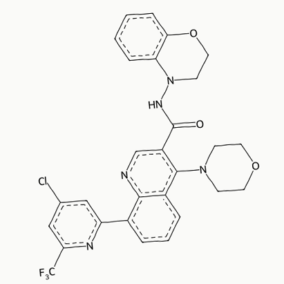 O=C(NN1CCOc2ccccc21)c1cnc2c(-c3cc(Cl)cc(C(F)(F)F)n3)cccc2c1N1CCOCC1